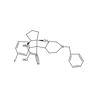 C[C@]1(C(C#N)(c2cccc(F)c2)C2CCN(Cc3ccccc3)CC2)CCC[C@@H]1NC(=O)O